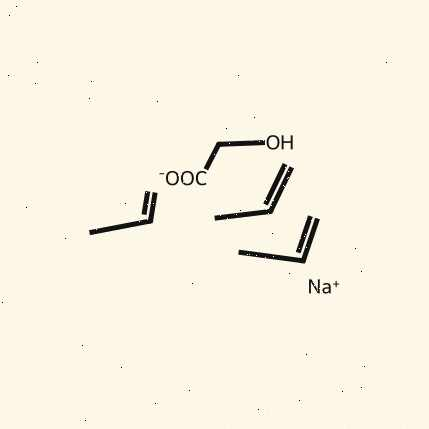 C=CC.C=CC.C=CC.O=C([O-])CO.[Na+]